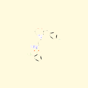 O=S(=O)(NCCCN1CCCOC(Cc2ccc(F)cc2)C1)c1c(Cl)cccc1Cl